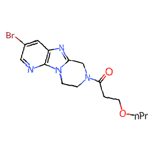 CCCOCCC(=O)N1CCn2c(nc3cc(Br)cnc32)C1